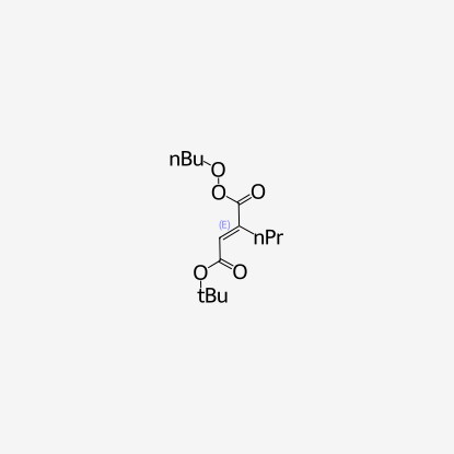 CCCCOOC(=O)/C(=C/C(=O)OC(C)(C)C)CCC